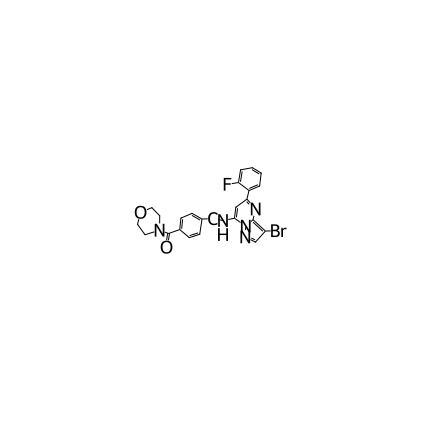 O=C(c1ccc(CNc2cc(-c3ccccc3F)nc3c(Br)cnn23)cc1)N1CCOCC1